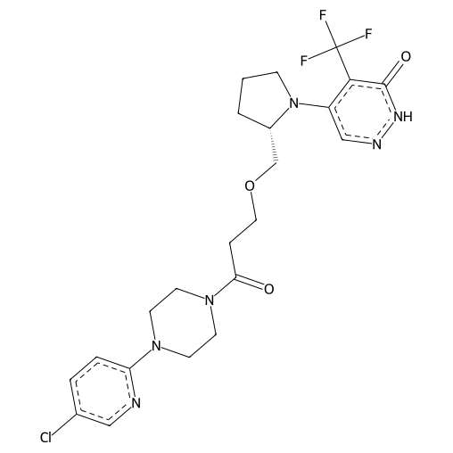 O=C(CCOC[C@@H]1CCCN1c1cn[nH]c(=O)c1C(F)(F)F)N1CCN(c2ccc(Cl)cn2)CC1